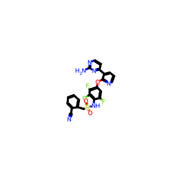 N#Cc1ccccc1CS(=O)(=O)Nc1c(F)cc(Oc2ncccc2-c2ccnc(N)n2)c(F)c1F